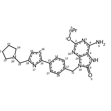 CCCOc1nc(N)c2[nH]c(=O)n(Cc3ccc(-c4nc(CN5CCCC5)cs4)cc3)c2n1